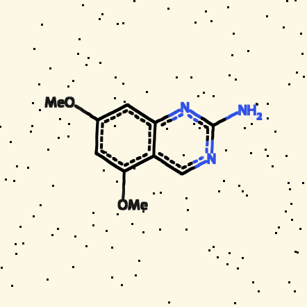 COc1cc(OC)c2cnc(N)nc2c1